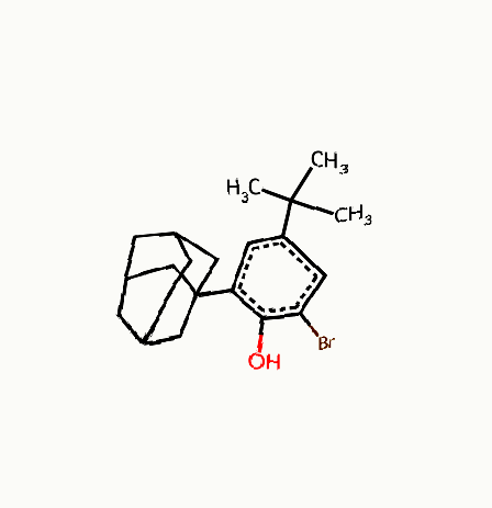 CC(C)(C)c1cc(Br)c(O)c(C23CC4CC(CC(C4)C2)C3)c1